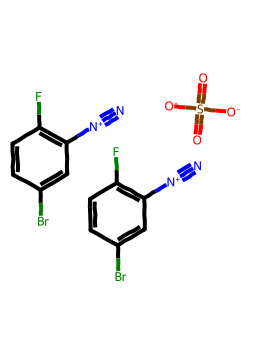 N#[N+]c1cc(Br)ccc1F.N#[N+]c1cc(Br)ccc1F.O=S(=O)([O-])[O-]